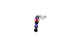 CC(C)CN(CC(=O)O)S(=O)(=O)c1ccc(N2CCC(c3ccccc3)CC2)cc1